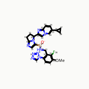 COc1ccc(-n2cnnn2)c(CN[S+]([O-])c2cnc3n2C(c2cn4cc(C5CC5)ccc4n2)CC3)c1F